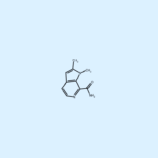 Cc1cc2ccnc(C(N)=O)c2n1C